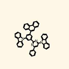 c1ccc(-c2cc(-n3c4ccccc4c4ccccc43)nc(-c3cc(-c4cc5ccccc5c5ccccc45)cc(-n4c5ccccc5c5ccccc54)c3)n2)cc1